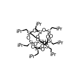 CC(C)C[Si]12O[SiH]3O[Si]4(CC(C)C)O[Si](CC(C)C)(O1)O[Si]1(CC(C)C)O[Si](CC(C)C)(O2)O[Si](CC(C)C)(O3)O[Si](CC(C)C)(O4)O1